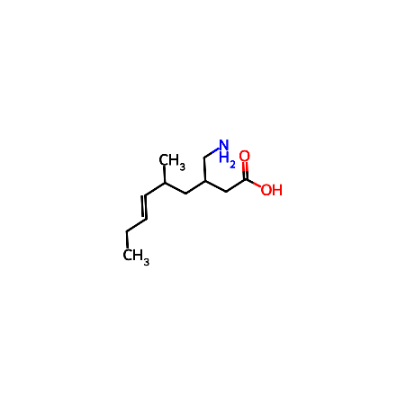 CCC=CC(C)CC(CN)CC(=O)O